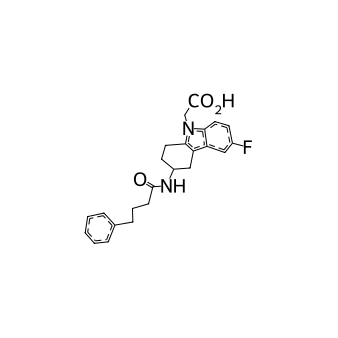 O=C(O)Cn1c2c(c3cc(F)ccc31)CC(NC(=O)CCCc1ccccc1)CC2